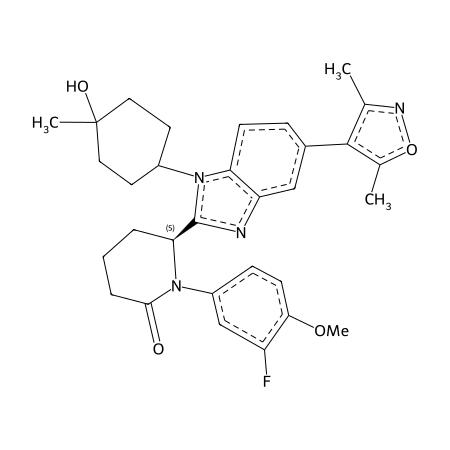 COc1ccc(N2C(=O)CCC[C@H]2c2nc3cc(-c4c(C)noc4C)ccc3n2C2CCC(C)(O)CC2)cc1F